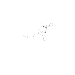 CC(=O)C1C2CC(C=C2C)C1C(=O)O